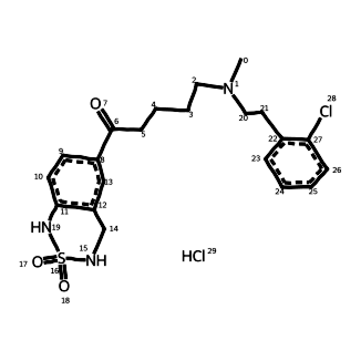 CN(CCCCC(=O)c1ccc2c(c1)CNS(=O)(=O)N2)CCc1ccccc1Cl.Cl